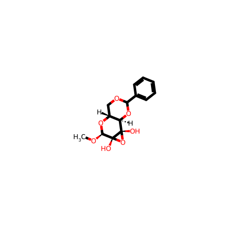 CO[C@H]1O[C@@H]2COC(c3ccccc3)O[C@H]2[C@]2(O)O[C@]12O